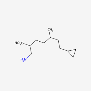 CC(CCC1CC1)CCC(CN)C(=O)O